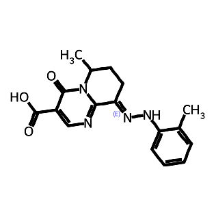 Cc1ccccc1N/N=C1\CCC(C)n2c1ncc(C(=O)O)c2=O